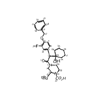 CC(C)(C)C1CN(C(=O)C(c2ccc(OCc3ccccc3)c(F)c2)C2(O)CCCCC2)CCN1C(=O)O